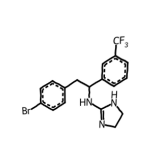 FC(F)(F)c1cccc(C(Cc2ccc(Br)cc2)NC2=NCCN2)c1